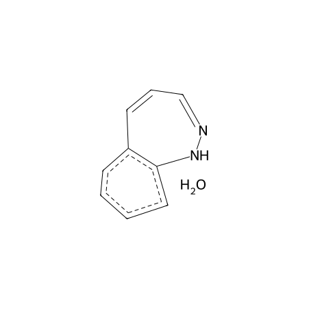 C1=Cc2ccccc2NN=C1.O